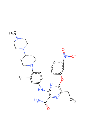 CCc1nc(C(N)=O)c(Nc2ccc(N3CCC(N4CCN(C)CC4)CC3)c(C)c2)nc1Oc1cccc([N+](=O)[O-])c1